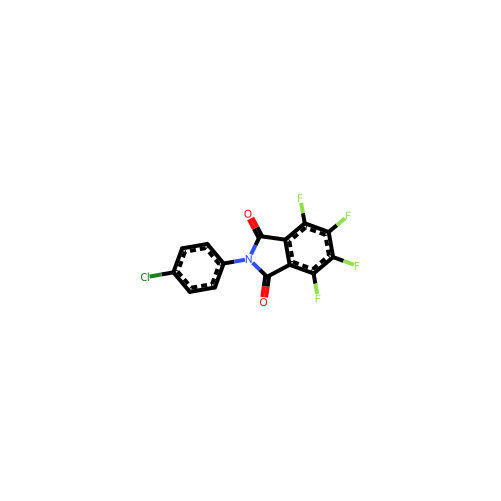 O=C1c2c(F)c(F)c(F)c(F)c2C(=O)N1c1ccc(Cl)cc1